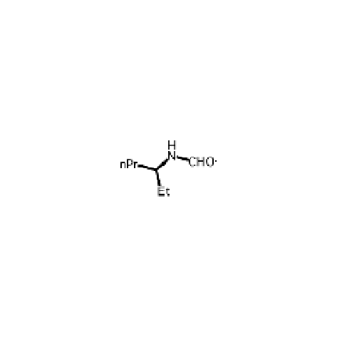 CCCC(CC)N[C]=O